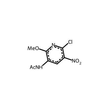 COc1nc(Cl)c([N+](=O)[O-])cc1NC(C)=O